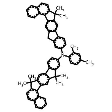 Cc1ccc(N(c2ccc3c(c2)Cc2cc4c(cc2-3)C(C)(C)c2ccc3ccccc3c2-4)c2ccc3c(c2)C(C)(C)c2cc4c(cc2-3)C(C)(C)c2ccc3ccccc3c2-4)c(C)c1